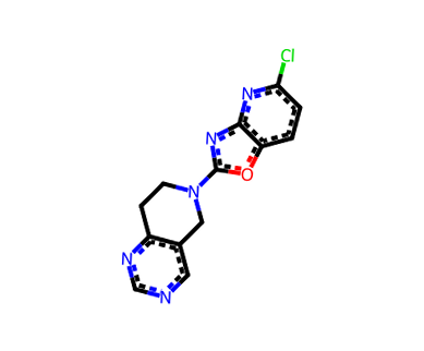 Clc1ccc2oc(N3CCc4ncncc4C3)nc2n1